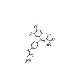 CNCC(=O)N(C)c1ccc(C2=NN(C(=O)NC)C(C)Cc3cc(OC)c(OC)cc32)cc1